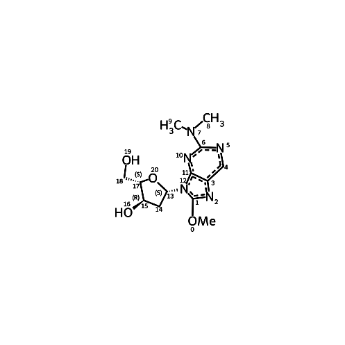 COc1nc2cnc(N(C)C)nc2n1[C@@H]1C[C@@H](O)[C@H](CO)O1